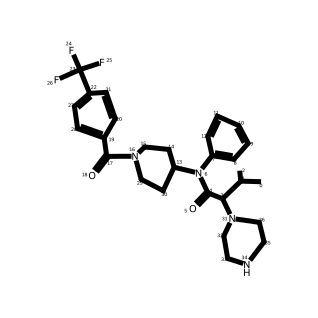 CC(C)C(C(=O)N(c1ccccc1)C1CCN(C(=O)c2ccc(C(F)(F)F)cc2)CC1)N1CCNCC1